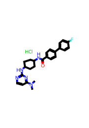 CN(C)c1ccnc(NC2CCC(NC(=O)c3ccc(-c4ccc(F)cc4)cc3)CC2)n1.Cl